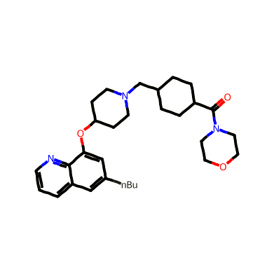 CCCCc1cc(OC2CCN(CC3CCC(C(=O)N4CCOCC4)CC3)CC2)c2ncccc2c1